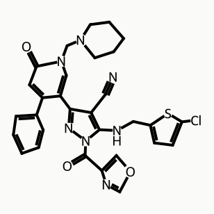 N#Cc1c(-c2cn(CN3CCCCC3)c(=O)cc2-c2ccccc2)nn(C(=O)c2cocn2)c1NCc1ccc(Cl)s1